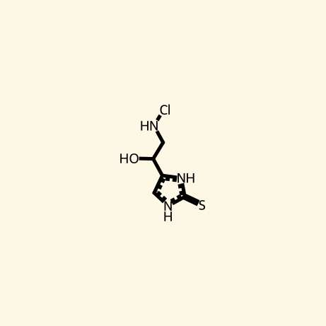 OC(CNCl)c1c[nH]c(=S)[nH]1